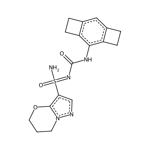 NS(=O)(=NC(=O)Nc1c2c(cc3c1CC3)CC2)c1cnn2c1OCCC2